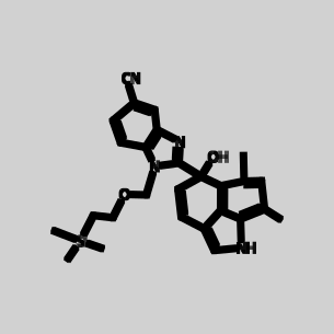 Cc1cc(C)c2[nH]cc3c2c1C(O)(c1nc2cc(C#N)ccc2n1COCC[Si](C)(C)C)C=C3